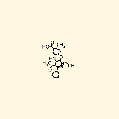 CCn1nc(-c2ccccc2)c(C(C)=O)c(Nc2cnc(C)c(C(=O)O)c2)c1=O